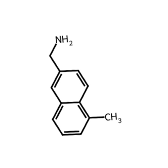 Cc1cccc2cc(CN)ccc12